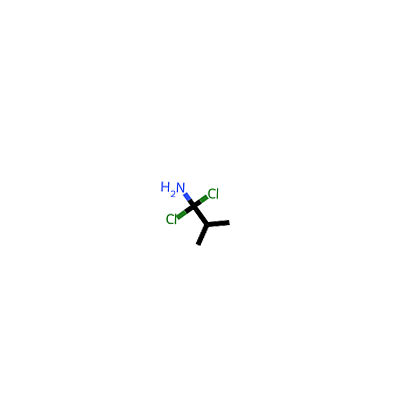 C[C](C)C(N)(Cl)Cl